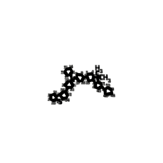 CC1(C)c2ccc(-c3ccc(N(c4ccccc4)c4ccc(-c5ccc6sc7ccccc7c6c5)cc4)cc3)cc2-c2ccc(-c3ccccc3)cc21